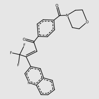 O=C(C=C(c1cnc2ccccc2c1)C(F)(F)F)c1ccc(C(=O)N2CCOCC2)cc1